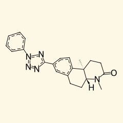 CN1C(=O)CC[C@]2(C)c3ccc(-c4nnn(-c5ccccc5)n4)cc3CC[C@@H]12